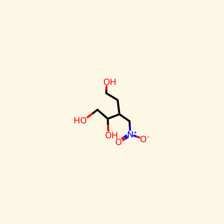 O=[N+]([O-])CC(CCO)C(O)CO